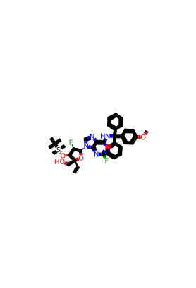 CC[C@]1(CO)O[C@@H](n2cnc3c(NC(c4ccccc4)(c4ccccc4)c4ccc(OC)cc4)nc(F)nc32)[C@@H](F)[C@@H]1O[Si](C)(C)C(C)(C)C